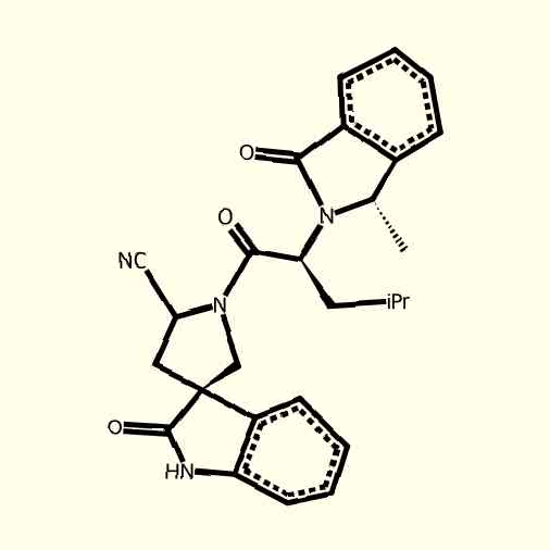 CC(C)C[C@@H](C(=O)N1C[C@]2(CC1C#N)C(=O)Nc1ccccc12)N1C(=O)c2ccccc2[C@@H]1C